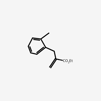 C=C(Cc1ccccc1C)C(=O)OCC